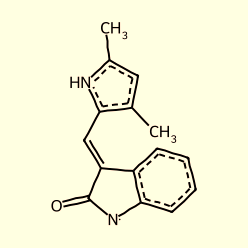 Cc1cc(C)c(C=C2C(=O)[N]c3ccccc32)[nH]1